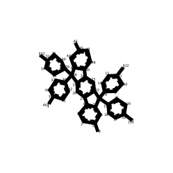 Cc1ccc2c(c1)C(c1ccc(I)cc1)(c1ccc(I)cc1)c1cc3c(cc1-2)C(c1ccc(I)cc1)(c1ccc(I)cc1)c1cc(C)ccc1-3